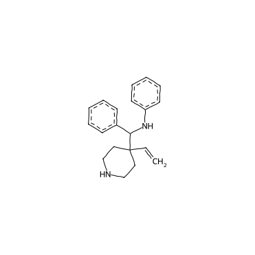 C=CC1(C(Nc2ccccc2)c2ccccc2)CCNCC1